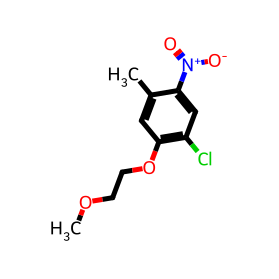 COCCOc1cc(C)c([N+](=O)[O-])cc1Cl